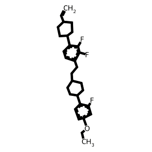 C=CC1CCC(c2ccc(CCC3CCC(c4ccc(OCC)cc4F)CC3)c(F)c2F)CC1